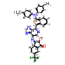 Cc1ccc(N(c2ccc(C)cc2)c2sc(-c3ncc(/N=c4\c(=O)c(=O)c5cc(C(F)(F)F)ccc45)c4nsnc34)c3ccccc23)cc1